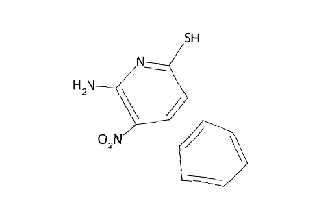 Nc1nc(S)ccc1[N+](=O)[O-].c1ccccc1